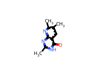 Cc1nc2nc(C)c(C)cc2c(=O)[nH]1